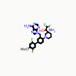 COc1cc(F)c(-c2ccc(N3CCC[C@](N)(C(O)C(F)F)C3)c(Cn3cnc4c(N)ncnc43)c2)cc1F